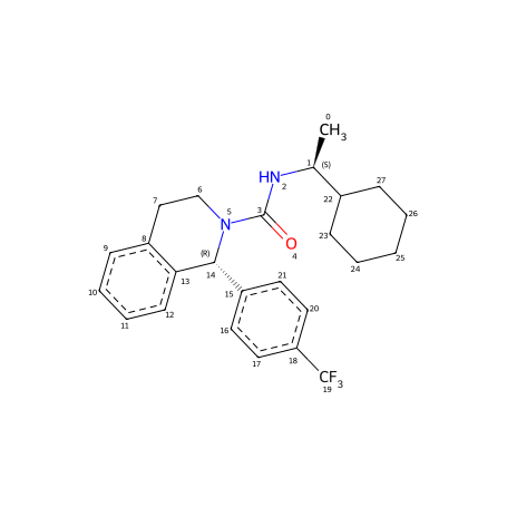 C[C@H](NC(=O)N1CCc2ccccc2[C@H]1c1ccc(C(F)(F)F)cc1)C1CCCCC1